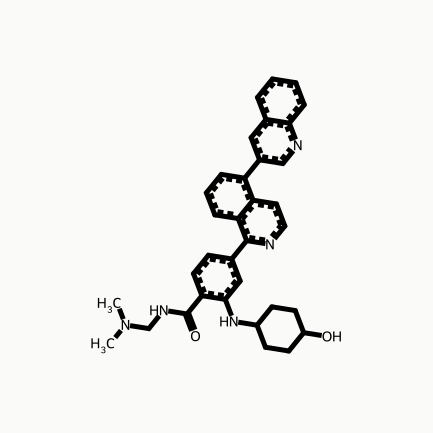 CN(C)CNC(=O)c1ccc(-c2nccc3c(-c4cnc5ccccc5c4)cccc23)cc1NC1CCC(O)CC1